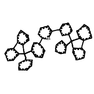 c1ccc(C2(c3cccc(-c4cccc(-c5cccc(C6(c7ccccc7)c7ccccc7-c7ccccc76)c5)n4)c3)c3ccccc3-c3ccccc32)cc1